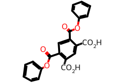 O=C(O)c1cc(C(=O)O)c(C(=O)Oc2ccccc2)cc1C(=O)Oc1ccccc1